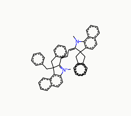 CN1/C(=C/C=C/C2=[N+](C)c3ccc4ccccc4c3C2(Cc2ccccc2)Cc2ccccc2)C(Cc2ccccc2)(Cc2ccccc2)c2ccc3ccccc3c21